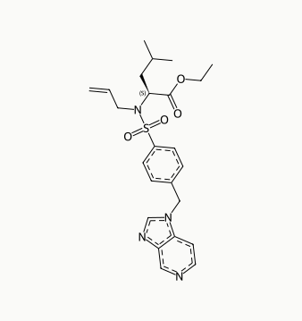 C=CCN([C@@H](CC(C)C)C(=O)OCC)S(=O)(=O)c1ccc(Cn2cnc3cnccc32)cc1